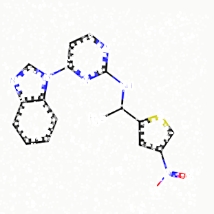 CC(Nc1nccc(-n2cnc3ccccc32)n1)c1cc([N+](=O)[O-])cs1